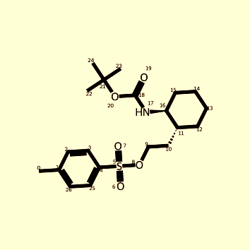 Cc1ccc(S(=O)(=O)OCC[C@H]2CCCC[C@@H]2NC(=O)OC(C)(C)C)cc1